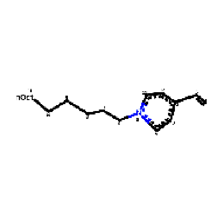 C=Cc1cc[n+](CCCCCCCCCCCCC)cc1